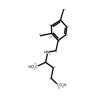 Cc1ccc(CNC(CCC(=O)O)C(=O)O)c(C)c1